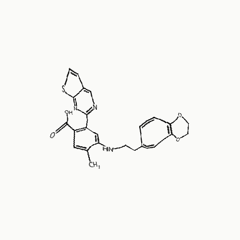 Cc1cc(C(=O)O)c(-c2ncc3ccsc3n2)cc1NCCc1ccc2c(c1)OCCO2